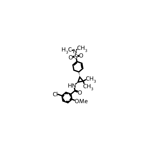 COc1ccc(Cl)cc1C(=O)N[C@H]1[C@H](C2C=CC(S(=O)(=O)N(C)C)=CC2)C1(C)C